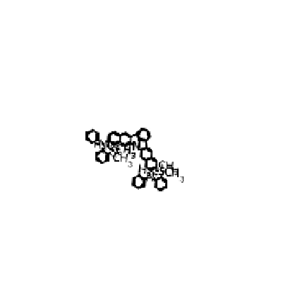 CS(C)(C)c1ccccc1N(c1ccccc1)c1ccc2cc3c4cccc5c6cc7ccc(N(c8ccccc8)c8ccccc8S(C)(C)C)cc7cc6n(c3cc2c1)c45